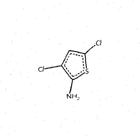 Nc1sc(Cl)cc1Cl